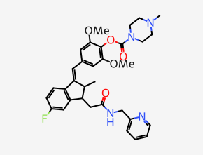 COc1cc(C=C2c3ccc(F)cc3C(CC(=O)NCc3ccccn3)C2C)cc(OC)c1OC(=O)N1CCN(C)CC1